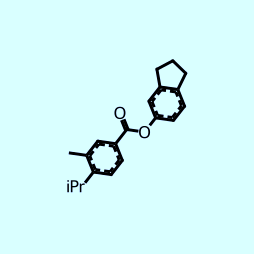 Cc1cc(C(=O)Oc2ccc3c(c2)CCC3)ccc1C(C)C